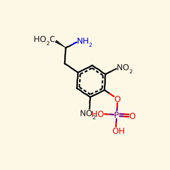 N[C@@H](Cc1cc([N+](=O)[O-])c(OP(=O)(O)O)c([N+](=O)[O-])c1)C(=O)O